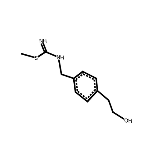 CSC(=N)NCc1ccc(CCO)cc1